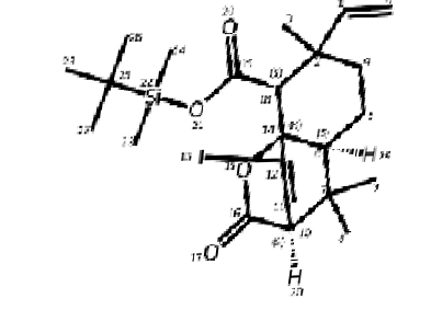 C=CC1(C)CC[C@H]2C(C)(C)[C@@H]3C=C(I)[C@]2(OC3=O)[C@H]1C(=O)O[Si](C)(C)C(C)(C)C